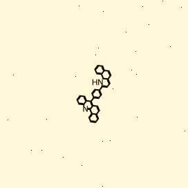 C1=Cc2ccccc2C2NC(c3ccc(-c4c5ccccc5nc5c4ccc4ccccc45)cc3)=CC=C12